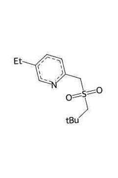 CCc1ccc(CS(=O)(=O)CC(C)(C)C)nc1